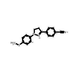 CSc1ccc(N2CCC(c3ccc(C#N)cc3)=N2)cc1